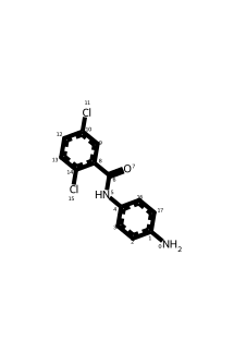 Nc1ccc(NC(=O)c2cc(Cl)ccc2Cl)cc1